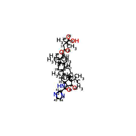 CC(C)C1=C2[C@H]3CC[C@@H]4[C@@]5(C)CC[C@H](OC(=O)CC(C)(C)C(=O)O)C(C)(C)[C@@H]5CC[C@@]4(C)[C@]3(C)CC[C@@]2(NC(=O)c2cnccn2)CC1=O